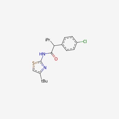 CC(C)C(C(=O)Nc1nc(C(C)(C)C)cs1)c1ccc(Cl)cc1